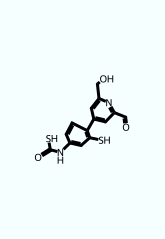 O=Cc1cc(-c2ccc(NC(=O)S)cc2S)cc(CO)n1